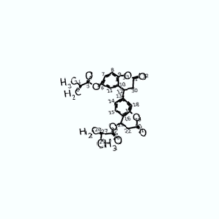 C=C(C)C(=O)Oc1ccc2c(c1)C(c1ccc3c(c1)OC(=O)CC3OC(=O)C(=C)C)CC(=O)O2